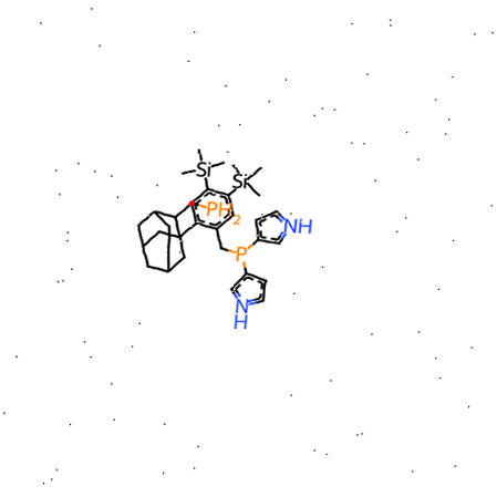 C[Si](C)(C)c1cc(CP(c2cc[nH]c2)c2cc[nH]c2)c(C23CC4CC(CC(C4)C2CP)C3)cc1[Si](C)(C)C